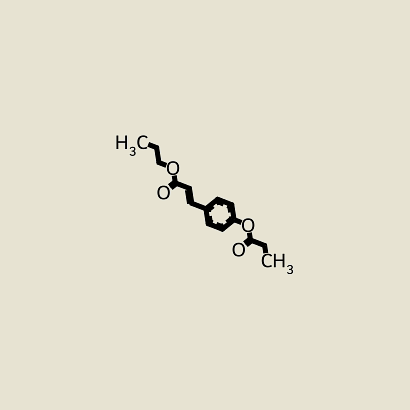 CCCOC(=O)C=Cc1ccc(OC(=O)CC)cc1